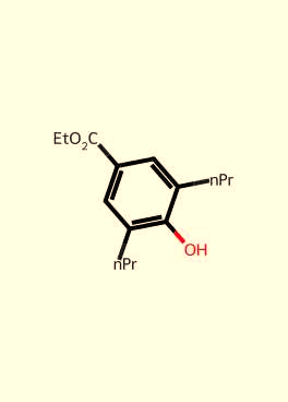 CCCc1cc(C(=O)OCC)cc(CCC)c1O